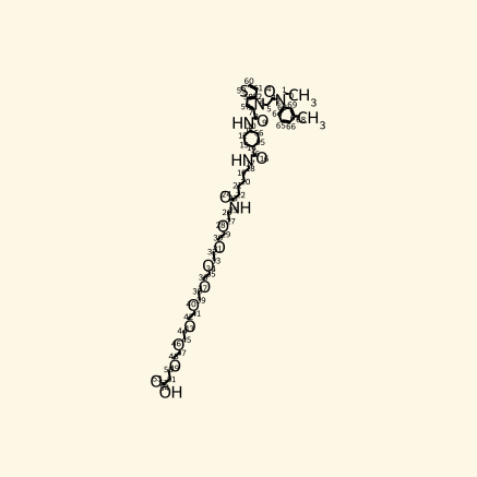 CCN(C(=O)Cn1c(C(=O)N[C@H]2CC[C@H](C(=O)NCCCCCC(=O)NCCOCCOCCOCCOCCOCCOCCOCCOCCC(=O)O)CC2)cc2sccc21)c1cccc(C)c1